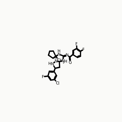 CC1(N/C(=N/C(=O)c2ccc(F)c(F)c2)NC2CC(c3cc(F)cc(Cl)c3)NN2)CCCC1